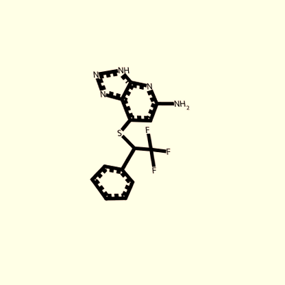 Nc1cc(SC(c2ccccc2)C(F)(F)F)c2nn[nH]c2n1